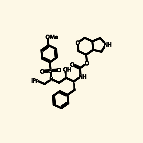 COc1ccc(S(=O)(=O)N(CC(C)C)C[C@@H](O)[C@H](Cc2ccccc2)NC(=O)OC2COCC3CNCC32)cc1